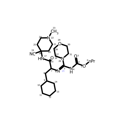 CCCOC(=O)N/C(=N/C(CC1CCCCC1)C(=O)NC1(C#N)CCN(C)CC1)N1CCOCC1